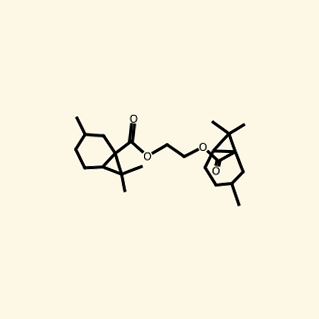 CC1CCC2C(C)(C)C2(C(=O)OCCOC(=O)C23CC(C)CCC2C3(C)C)C1